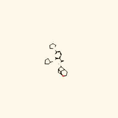 O=C(N[C@H]1C2CC3CC1C[C@@](O)(C3)C2)c1ccc(N2CC[C@@H](C(=O)O)C2)nc1SC1CCCC1